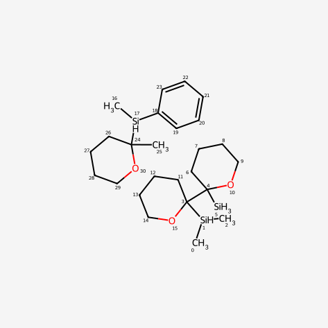 C[SiH](C)C1(C2([SiH3])CCCCO2)CCCCO1.C[SiH](c1ccccc1)C1(C)CCCCO1